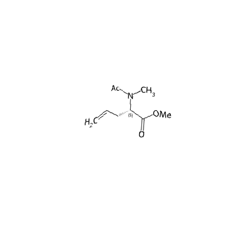 C=CC[C@@H](C(=O)OC)N(C)C(C)=O